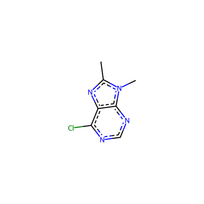 Cc1nc2c(Cl)ncnc2n1C